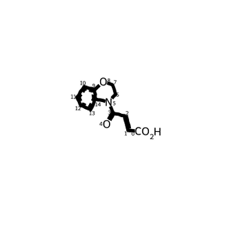 O=C(O)C=CC(=O)N1CCOc2ccccc21